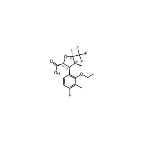 CCOc1c([C@H]2[C@@H](C(=O)O)O[C@@](C)(C(F)(F)F)[C@H]2C)ccc(F)c1C